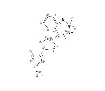 Cc1cc(C(F)(F)F)nn1-c1ccc(C2=NNC(C)(C)Cc3ccccc32)cc1